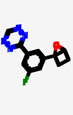 Fc1cc(-c2nncnn2)cc(C23CCC2O3)c1